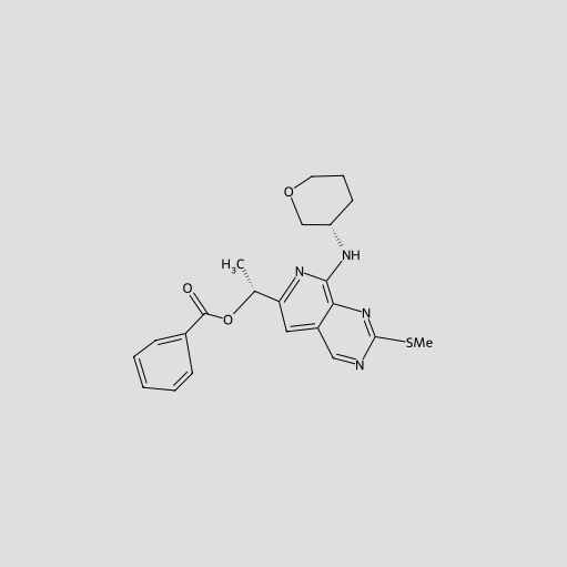 CSc1ncc2cc([C@@H](C)OC(=O)c3ccccc3)nc(N[C@H]3CCCOC3)c2n1